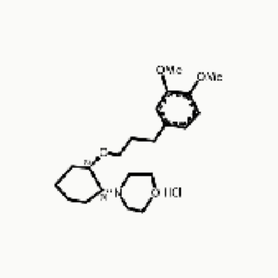 COc1ccc(CCCO[C@@H]2CCCC[C@H]2N2CCOCC2)cc1OC.Cl